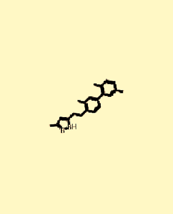 CC1=BBC(CCc2ccc(-c3cc(C)ccc3C)cc2C)=C1